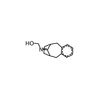 OCN=C1C2CCC1Cc1ccccc1C2